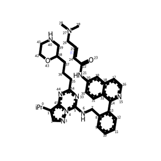 CC(C)c1cnn2c(NCc3ccccc3-c3nccc4cc(NC(=O)/C=C/CN(C)C)ccc34)nc(CCCC3CNCCO3)nc12